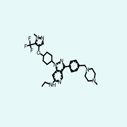 CCNc1cc2c(cn1)c(-c1ccc(CN3CCN(C)CC3)cc1)nn2C1CCC(Oc2cnn(C)c2C(F)(F)F)CC1